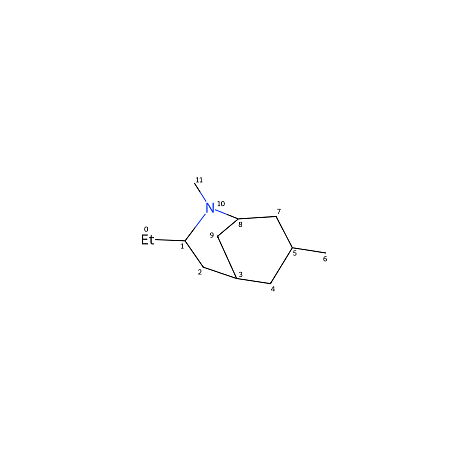 CCC1CC2CC(C)CC(C2)N1C